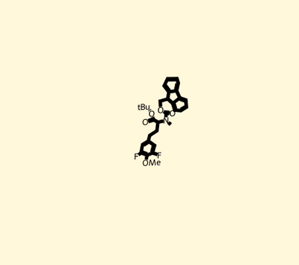 COc1c(F)cc(CCC(C(=O)OC(C)(C)C)N(C)C(=O)OCC2c3ccccc3-c3ccccc32)cc1F